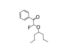 CCCC(CCC)OC(F)C(=O)c1ccccc1